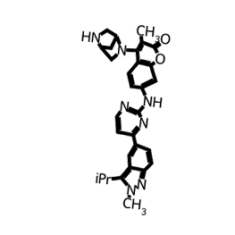 Cc1c(N2CC3CC2CN3)c2ccc(Nc3nccc(-c4ccc5nn(C)c(C(C)C)c5c4)n3)cc2oc1=O